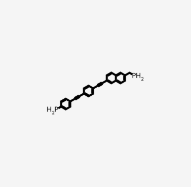 PCc1ccc2cc(C#Cc3ccc(C#Cc4ccc(P)cc4)cc3)ccc2c1